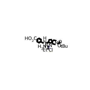 CC/C(Cl)=C1/N=C2C(=C(NCc3ccc(C(=O)O)cc3)N1N)CCC21CCN(C(=O)OC(C)(C)C)CC1